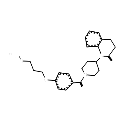 CCOC(=O)NCCCOc1ccc(C(=O)N2CCC(N3C(=O)CCc4ccccc43)CC2)cc1